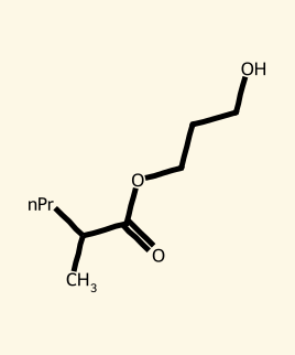 CCCC(C)C(=O)OCCCO